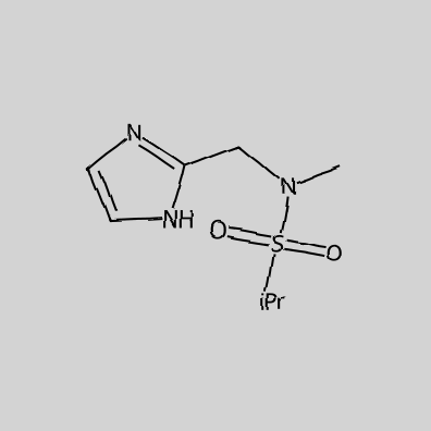 CC(C)S(=O)(=O)N(C)Cc1ncc[nH]1